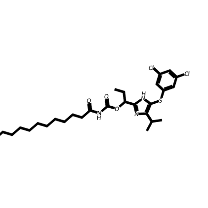 CCCCCCCCCCCC(=O)NC(=O)OC(CC)c1nc(C(C)C)c(Sc2cc(Cl)cc(Cl)c2)[nH]1